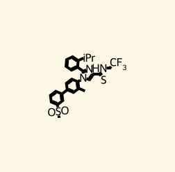 Cc1cc(-c2cccc(S(C)(=O)=O)c2)ccc1-n1cc(C(=S)NCC(F)(F)F)nc1-c1ccccc1C(C)C